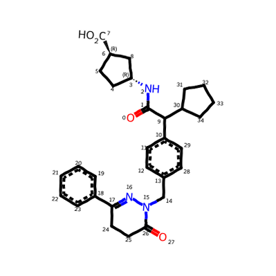 O=C(N[C@@H]1CC[C@@H](C(=O)O)C1)C(c1ccc(CN2N=C(c3ccccc3)CCC2=O)cc1)C1CCCC1